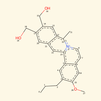 CCCc1cc2c(cc[n+]3c(C)c4cc(CO)c(CO)cc4cc23)cc1OC